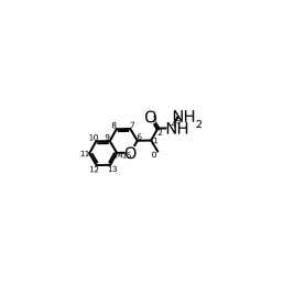 CC(C(=O)NN)C1C=Cc2ccccc2O1